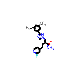 NC(=O)/C(=C/n1cnc(-c2cc(C(F)(F)F)cc(C(F)(F)F)c2)n1)CCc1ccnc(F)c1